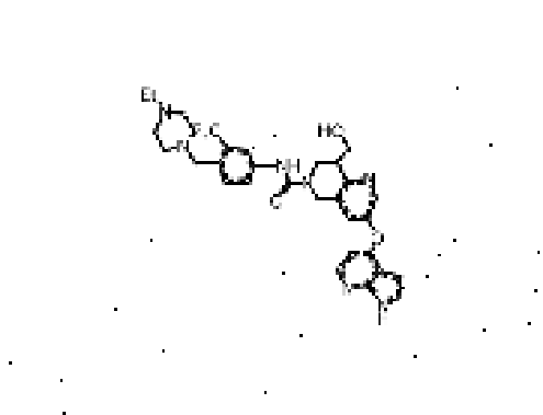 CCN1CCN(Cc2ccc(NC(=O)N3Cc4cc(Oc5ccnc6[nH]ccc56)cnc4C(CO)C3)cc2C(F)(F)F)CC1